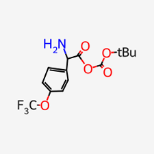 CC(C)(C)OC(=O)OC(=O)C(N)c1ccc(OC(F)(F)F)cc1